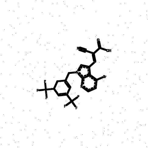 N#C/C(=C\c1cn(CC2=CC(C(F)(F)F)=CC(C(F)(F)F)C2)c2nccc(Br)c12)C(=O)O